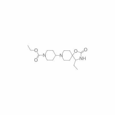 CCOC(=O)N1CCC(N2CCC3(CC2)OC(=O)NC3CC)CC1